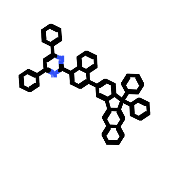 c1ccc(-c2cc(-c3ccccc3)nc(-c3ccc(-c4ccc5c(c4)-c4cc6ccccc6cc4C5(c4ccccc4)c4ccccc4)c4ccccc34)n2)cc1